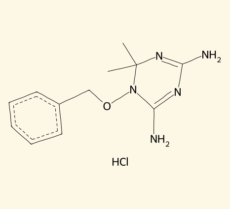 CC1(C)N=C(N)N=C(N)N1OCc1ccccc1.Cl